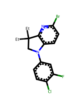 CCC1(CC)CN(c2ccc(Cl)c(F)c2)c2ccc(Br)nc21